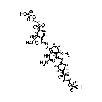 NC(=O)Nc1c(C/N=N/c2ccc(S(=O)(=O)CCOS(=O)(=O)O)cc2S(=O)(=O)O)ccc(N)c1/N=N/c1ccc(S(=O)(=O)CCOS(=O)(=O)O)cc1